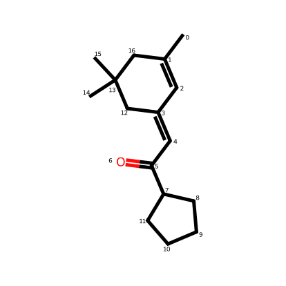 CC1=CC(=CC(=O)C2CCCC2)CC(C)(C)C1